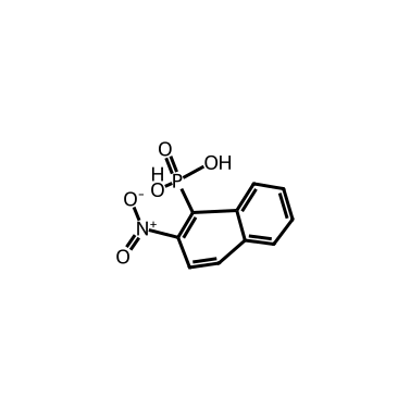 O=[N+]([O-])c1ccc2ccccc2c1P(=O)(O)O